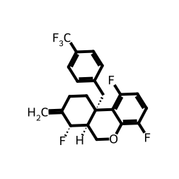 C=C1CC[C@@]2(Cc3ccc(C(F)(F)F)cc3)c3c(F)ccc(F)c3OC[C@H]2[C@@H]1F